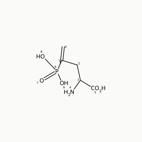 C=C(CC(N)C(=O)O)P(=O)(O)O